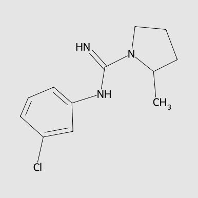 CC1CCCN1C(=N)Nc1cccc(Cl)c1